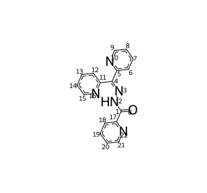 O=C(NN=C(c1ccccn1)c1ccccn1)c1ccccn1